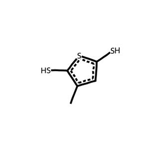 Cc1cc(S)sc1S